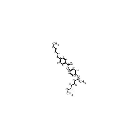 CCCCCCc1ccc(C(=O)Oc2ccc(OC(C)CCCCCC)cc2)cc1